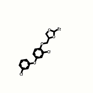 CCC1OCC(COc2ccc(Oc3cccc(Cl)c3)cc2Cl)O1